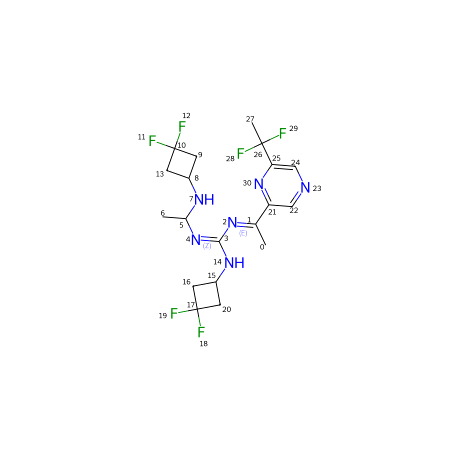 C/C(=N\C(=N/C(C)NC1CC(F)(F)C1)NC1CC(F)(F)C1)c1cncc(C(C)(F)F)n1